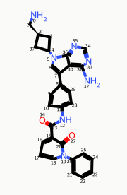 NC[C@H]1C[C@@H](n2cc(-c3ccc(NC(=O)c4cccn(-c5ccccc5)c4=O)cc3)c3c(N)ncnc32)C1